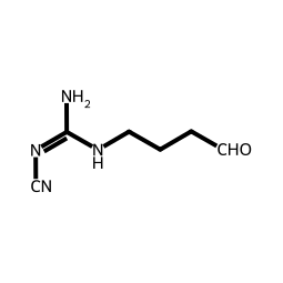 N#CN=C(N)NCCCC=O